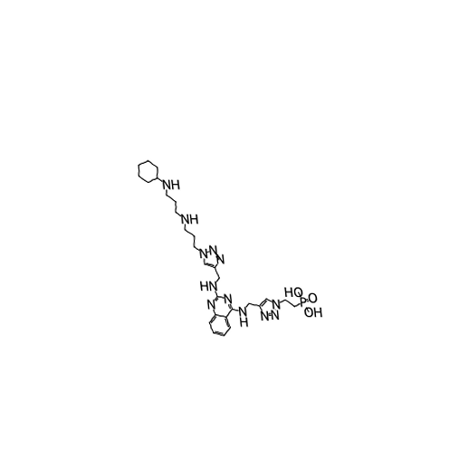 O=P(O)(O)CCn1cc(CNc2nc(NCc3cn(CCCNCCCNC4CCCCC4)nn3)nc3ccccc23)nn1